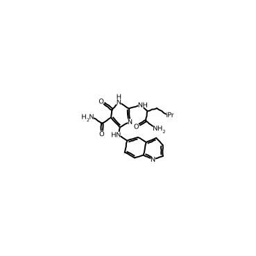 CC(C)CC(Nc1nc(Nc2ccc3ncccc3c2)c(C(N)=O)c(=O)[nH]1)C(N)=O